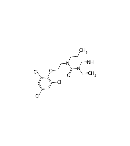 C=CN(C=N)C(=O)N(CCC)CCOc1c(Cl)cc(Cl)cc1Cl